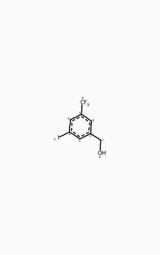 O[CH]c1cc(I)cc(C(F)(F)F)c1